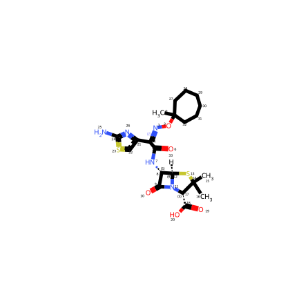 CC1(O/N=C(\C(=O)N[C@H]2C(=O)N3[C@@H]2SC(C)(C)[C@@H]3C(=O)O)c2csc(N)n2)CCCCCC1